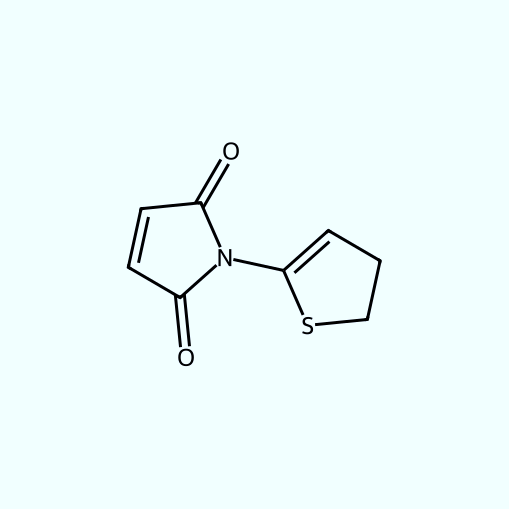 O=C1C=CC(=O)N1C1=CCCS1